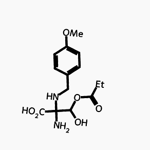 CCC(=O)OC(O)C(N)(NCc1ccc(OC)cc1)C(=O)O